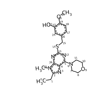 CCc1nc2c(N3CCOCC3)nc(SCc3ccc(OC)c(O)c3)nc2n1C